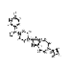 Cc1ccc(C(=O)N2CCC(c3nc4c(s3)CCN(C3=CC=C3)CC4)CC2)cn1